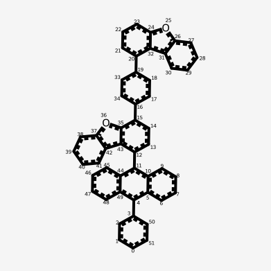 c1ccc(-c2c3ccccc3c(-c3ccc(-c4ccc(-c5cccc6oc7ccccc7c56)cc4)c4oc5ccccc5c34)c3ccccc23)cc1